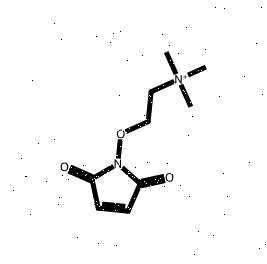 C[N+](C)(C)CCON1C(=O)C=CC1=O